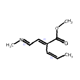 C\C=C/C(=C\C=N\C)C(=O)OC